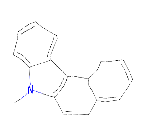 Cn1c2c(c3ccccc31)C1CC=CC=C1C=C2